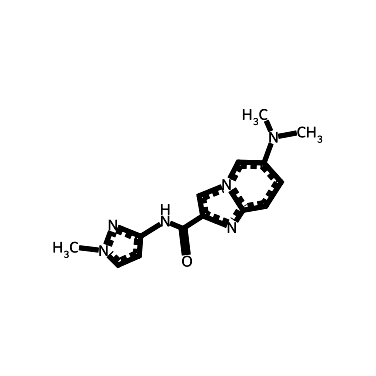 CN(C)c1ccc2nc(C(=O)Nc3ccn(C)n3)cn2c1